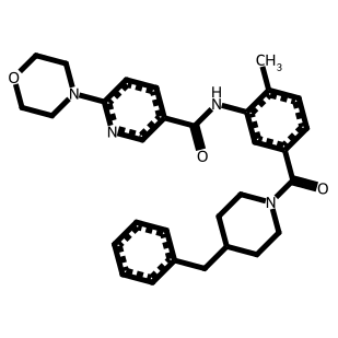 Cc1ccc(C(=O)N2CCC(Cc3ccccc3)CC2)cc1NC(=O)c1ccc(N2CCOCC2)nc1